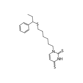 CCC(SCCCCCCn1ccc(=S)[nH]c1=S)c1ccccc1